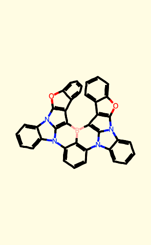 c1cc2c3c(c1)-n1c4ccccc4n4c5oc6ccccc6c5c(c14)B3c1c3c4ccccc4oc3n3c4ccccc4n-2c13